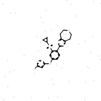 Cc1cc(Nc2ccc(-c3nc4c(s3)CCNCC4)c(S(=O)(=O)C3CC3)c2)n[nH]1